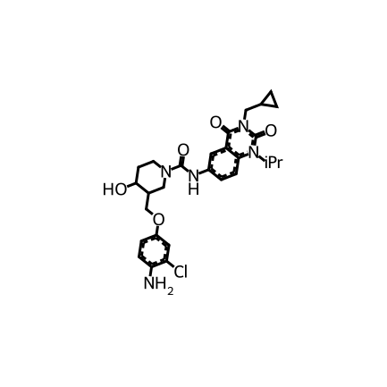 CC(C)n1c(=O)n(CC2CC2)c(=O)c2cc(NC(=O)N3CCC(O)C(COc4ccc(N)c(Cl)c4)C3)ccc21